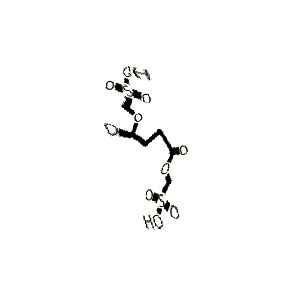 O=C(CCC(=O)OCS(=O)(=O)O)OCS(=O)(=O)O